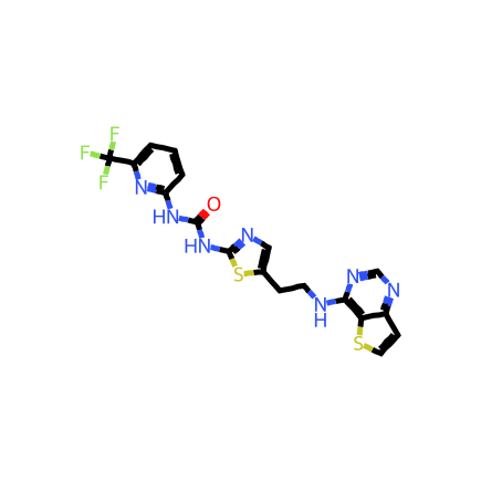 O=C(Nc1cccc(C(F)(F)F)n1)Nc1ncc(CCNc2ncnc3ccsc23)s1